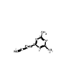 C=C=N.CNc1nc(N)nc(N)n1